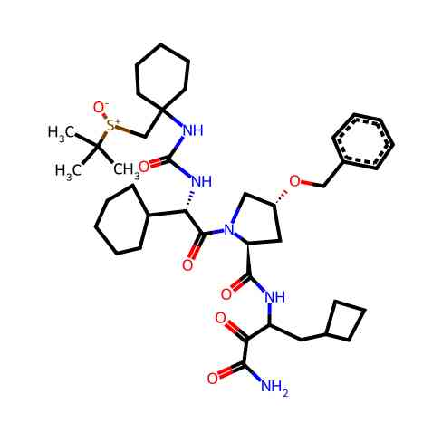 CC(C)(C)[S+]([O-])CC1(NC(=O)N[C@H](C(=O)N2C[C@H](OCc3ccccc3)C[C@H]2C(=O)NC(CC2CCC2)C(=O)C(N)=O)C2CCCCC2)CCCCC1